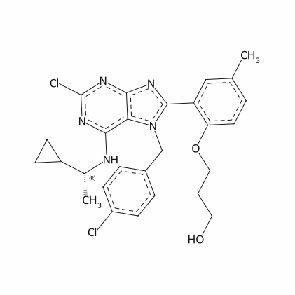 Cc1ccc(OCCCO)c(-c2nc3nc(Cl)nc(N[C@H](C)C4CC4)c3n2Cc2ccc(Cl)cc2)c1